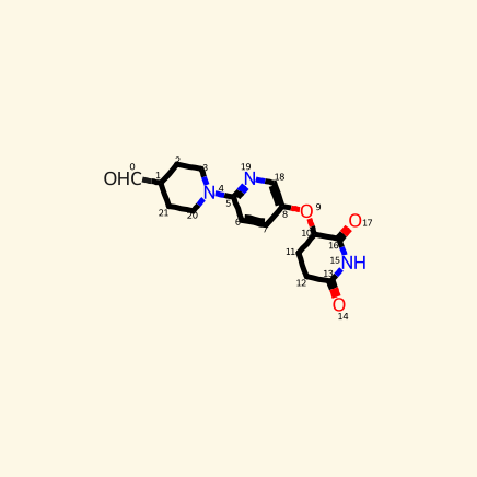 O=CC1CCN(c2ccc(OC3CCC(=O)NC3=O)cn2)CC1